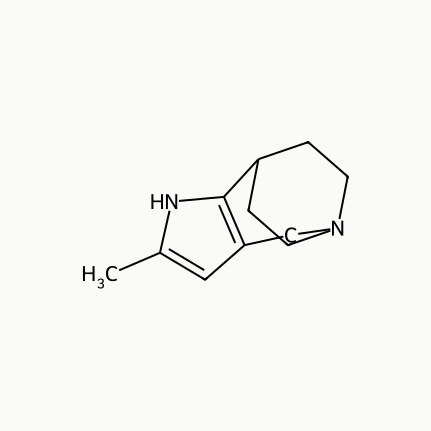 Cc1cc2c([nH]1)C1CCN(CC1)C2